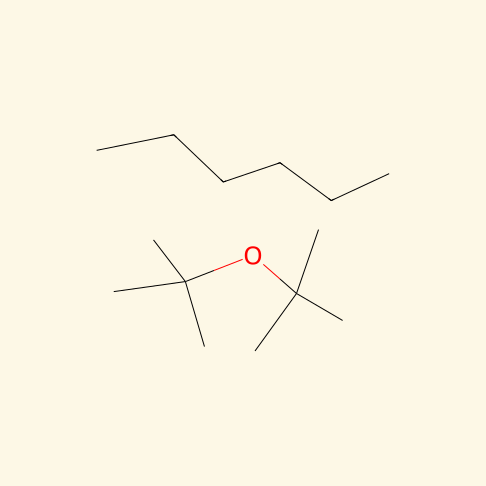 CC(C)(C)OC(C)(C)C.CCCCCC